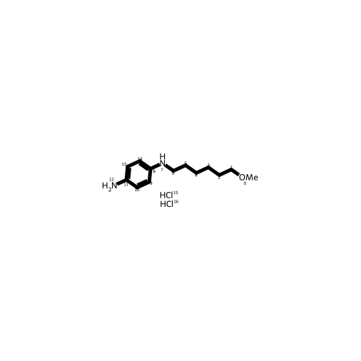 COCCCCCCNc1ccc(N)cc1.Cl.Cl